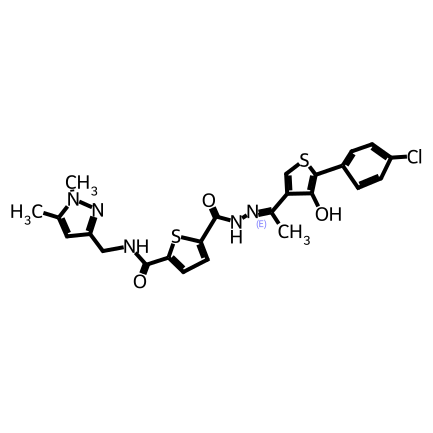 C/C(=N\NC(=O)c1ccc(C(=O)NCc2cc(C)n(C)n2)s1)c1csc(-c2ccc(Cl)cc2)c1O